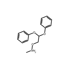 C[SiH2]OCC(Oc1ccccc1)Oc1ccccc1